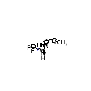 CN1CCC(Cc2ccc3[nH]c(-c4n[nH]cc4/C=C/c4cccc(F)c4F)nc3c2)CC1